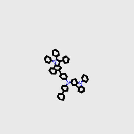 c1ccc(-c2ccc(N(c3ccc(-c4cc5c(-c6ccccc6)c(-c6ccccc6)n(-c6ccccc6)c5c5ccccc45)cc3)c3ccc4c(c3)c3ccccc3n4-c3ccccc3)cc2)cc1